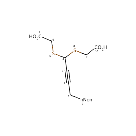 CCCCCCCCCCC#CC(SCC(=O)O)SCC(=O)O